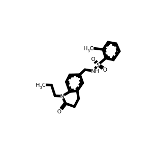 CCCN1C(=O)CCc2cc(CNS(=O)(=O)c3ccccc3C)ccc21